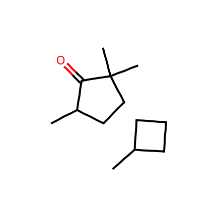 CC1CCC(C)(C)C1=O.CC1CCC1